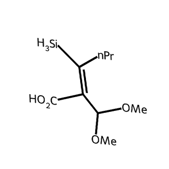 CCC/C([SiH3])=C(/C(=O)O)C(OC)OC